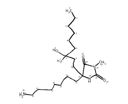 CCCCCCC(C)(O)CCC1(CCCCCCCN)NC(=O)N(C)C1=O